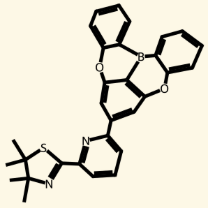 CC1(C)N=C(c2cccc(-c3cc4c5c(c3)Oc3ccccc3B5c3ccccc3O4)n2)SC1(C)C